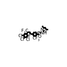 Cc1cc(C)nc(NNC(=O)c2ccc(C(F)=CC(c3cc(Cl)c(Cl)c(Cl)c3)C(F)(F)F)cc2C(F)(F)F)n1